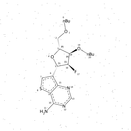 CCCCOC[C@H]1O[C@@H](c2csc3c(N)ncnc23)[C@H](F)[C@@H]1OCCCC